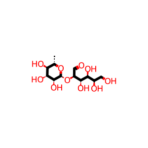 C[C@@H]1O[C@H](O[C@@H](C=O)[C@@H](O)[C@@H](O)[C@H](O)CO)[C@H](O)[C@H](O)[C@H]1O